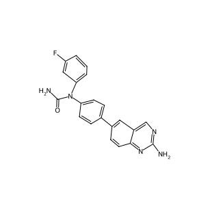 NC(=O)N(c1ccc(-c2ccc3nc(N)ncc3c2)cc1)c1cccc(F)c1